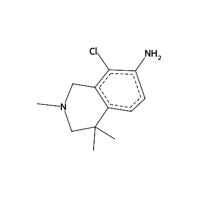 CN1Cc2c(ccc(N)c2Cl)C(C)(C)C1